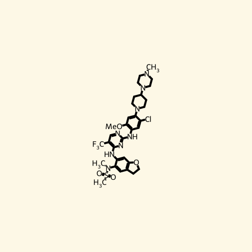 COc1cc(N2CCC(N3CCN(C)CC3)CC2)c(Cl)cc1Nc1ncc(C(F)(F)F)c(Nc2cc3c(cc2N(C)S(C)(=O)=O)CCO3)n1